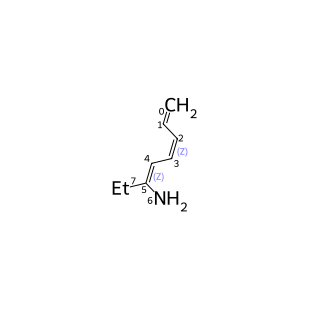 C=C/C=C\C=C(/N)CC